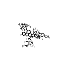 CN1CCN(C(=O)N(c2nn(CC(F)(F)F)c3c(-c4ccc(CCC(C)(C)S(C)(=O)=O)nc4[C@H](Cc4cc(F)cc(F)c4)NC(=O)Cn4nc(C(F)(F)F)c([C@H]5CC5CF)c4CF)ccc(Cl)c23)S(C)(=O)=O)CC1